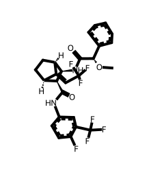 CO[C@H](C(=O)N[C@H]1[C@@H](C(=O)Nc2ccc(F)c(C(F)(F)F)c2)[C@H]2CC[C@@H]1/C2=C\C(F)(F)F)c1ccccc1